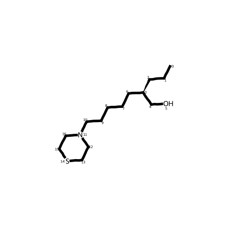 CCC[C@@H](CO)CCCCCN1CCSCC1